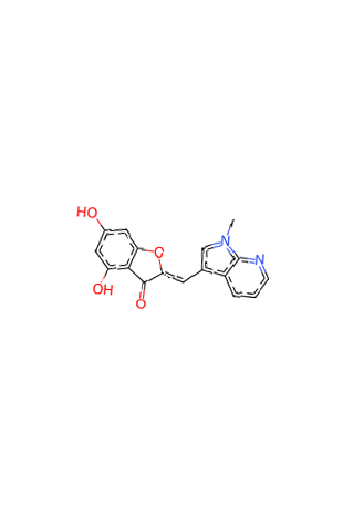 Cn1cc(C=C2Oc3cc(O)cc(O)c3C2=O)c2cccnc21